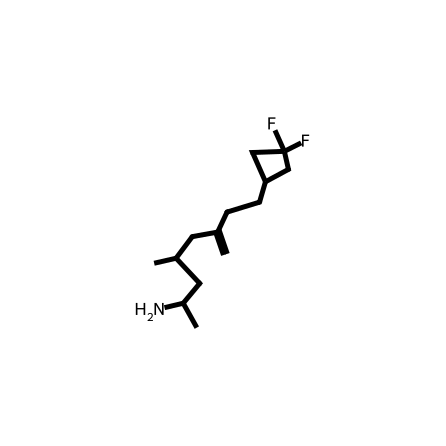 C=C(CCC1CC(F)(F)C1)CC(C)CC(C)N